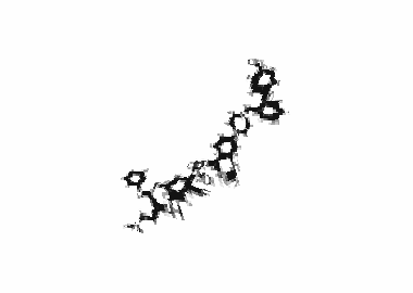 CN(C)CCC(CSc1ccccc1)Nc1cc(F)c(S(=O)(=O)Nc2ncnc3cc(N4CCN(Cc5ccccc5-c5ccc(Cl)cc5)CC4)ccc23)cc1F